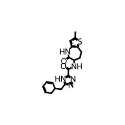 Cc1cc2c(s1)CCC(NC(=O)c1nnc(CC3C=CC=CC3)[nH]1)C(=O)N2